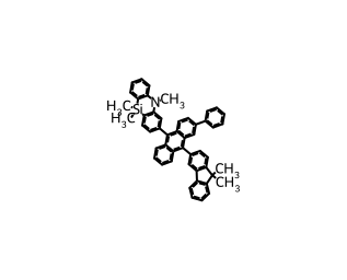 CN1c2ccccc2[Si](C)(C)c2ccc(-c3c4ccccc4c(-c4ccc5c(c4)-c4ccccc4C5(C)C)c4cc(-c5ccccc5)ccc34)cc21